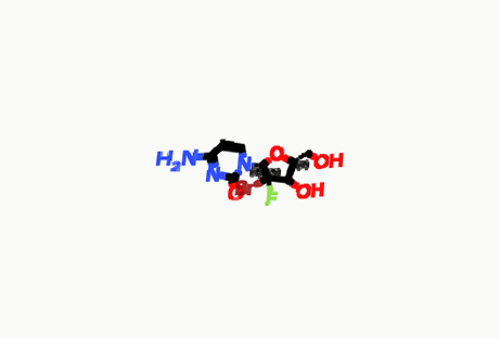 Nc1ccn([C@@H]2O[C@H](CO)C(O)[C@]2(F)Br)c(=O)n1